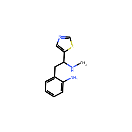 CNC(Cc1ccccc1N)c1cncs1